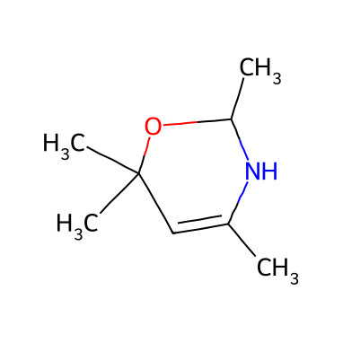 CC1=CC(C)(C)OC(C)N1